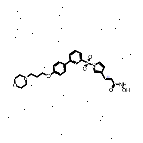 O=C(/C=C/c1ccn(S(=O)(=O)c2cccc(-c3ccc(OCCCN4CCOCC4)cc3)c2)c1)NO